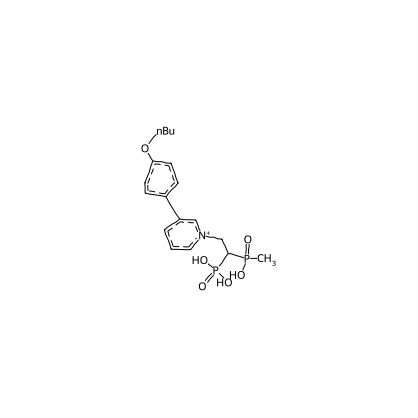 CCCCOc1ccc(-c2ccc[n+](CC(P(C)(=O)O)P(=O)(O)O)c2)cc1